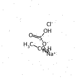 CC(=O)O.O=S([O-])O.[Cl-].[Na+].[Na+]